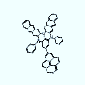 c1ccc(N2c3cc4cc5ccccc5cc4cc3B3c4cc5cc6ccccc6cc5cc4N(c4ccccc4)c4cc(-c5cc6ccc7cccc8ccc(c5)c6c78)cc2c43)cc1